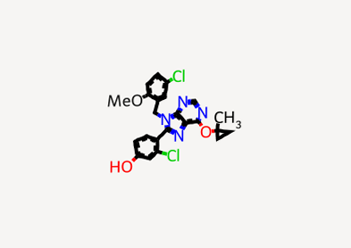 COc1ccc(Cl)cc1Cn1c(-c2ccc(O)cc2Cl)nc2c(OC3(C)CC3)ncnc21